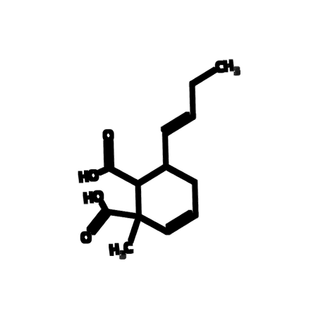 CCC=CC1CC=CC(C)(C(=O)O)C1C(=O)O